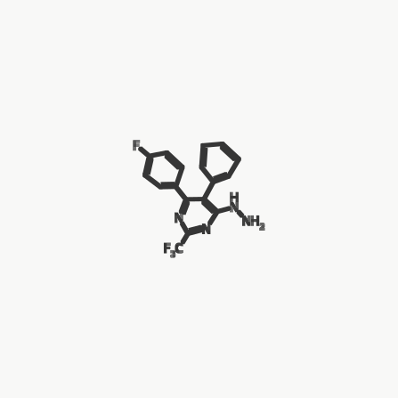 NNc1nc(C(F)(F)F)nc(-c2ccc(F)cc2)c1-c1ccccc1